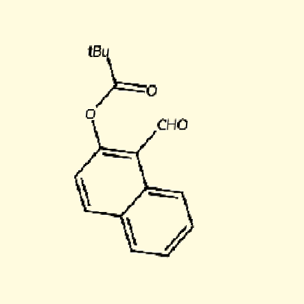 CC(C)(C)C(=O)Oc1ccc2ccccc2c1C=O